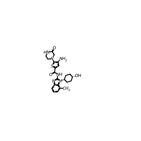 Cc1cccc2nc(NC(=O)c3cc(N)c(N4CCNC(=O)C4)s3)n([C@H]3CC[C@H](O)CC3)c12